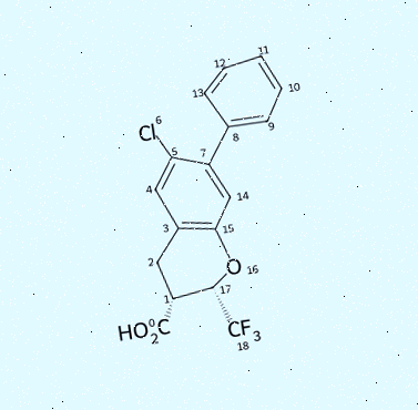 O=C(O)[C@@H]1Cc2cc(Cl)c(-c3ccccc3)cc2O[C@@H]1C(F)(F)F